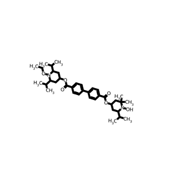 CCON1C(C(C)C)CC(OC(=O)c2ccc(-c3ccc(C(=O)OC4CC(C(C)C)N(O)C(C)(C)C4)cc3)cc2)CC1C(C)C